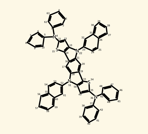 c1ccc(N(c2ccccc2)c2cc3c(s2)c2cc4c(cc2n3-c2ccc3ccccc3c2)c2sc(N(c3ccccc3)c3ccccc3)cc2n4-c2ccc3ccccc3c2)cc1